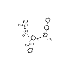 Cc1cc(-c2ccc(-c3ccccc3)cc2)nn1CCOc1ccc(CCC(=O)O)c(CNC(=O)c2ccccn2)c1.O=C(O)C(F)(F)F